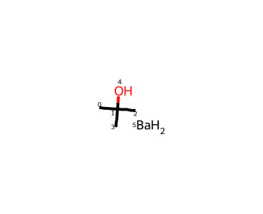 CC(C)(C)O.[BaH2]